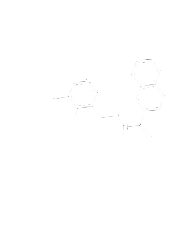 Cc1c(F)cncc1CON(C)C(=O)c1ccc2ccccc2c1